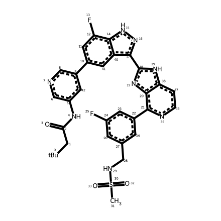 CC(C)(C)CC(=O)Nc1cncc(-c2cc(F)c3[nH]nc(-c4nc5c(-c6cc(F)cc(CNS(C)(=O)=O)c6)nccc5[nH]4)c3c2)c1